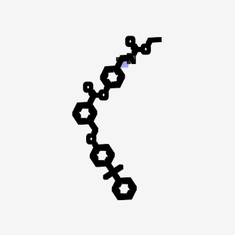 CCOC(=O)/N=[C]/c1ccc(OC(=O)c2cccc(COc3ccc(C(C)(C)c4ccccc4)cc3)c2)cc1